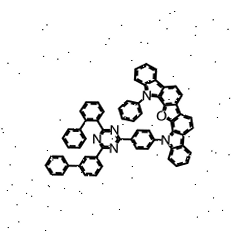 c1ccc(-c2cccc(-c3nc(-c4ccc(-n5c6ccccc6c6ccc7c8ccc9c%10ccccc%10n(-c%10ccccc%10)c9c8oc7c65)cc4)nc(-c4ccccc4-c4ccccc4)n3)c2)cc1